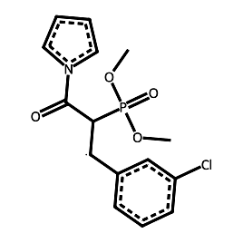 COP(=O)(OC)C([CH]c1cccc(Cl)c1)C(=O)n1cccc1